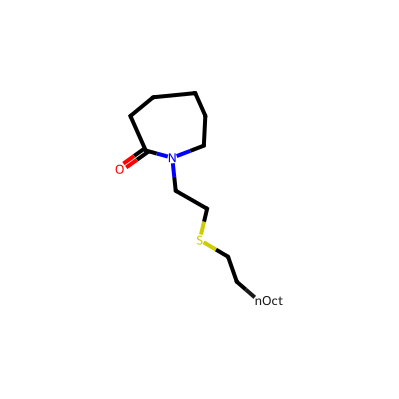 CCCCCCCCCCSCCN1CCCCCC1=O